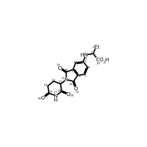 CCC(Nc1ccc2c(c1)C(=O)N(C1CCC(=O)NC1=O)C2=O)C(=O)O